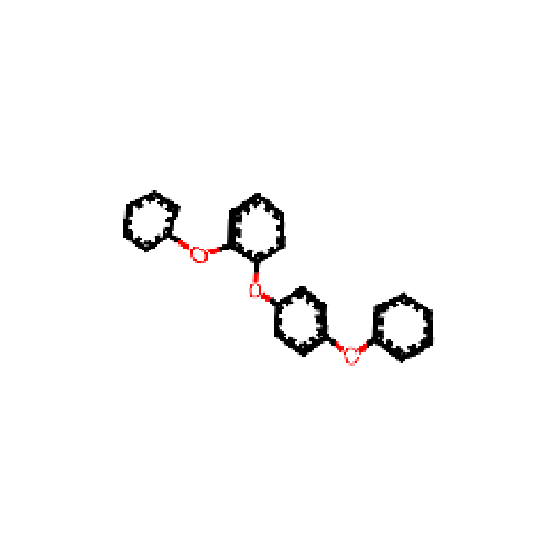 c1ccc(Oc2ccc(Oc3ccccc3Oc3ccccc3)cc2)cc1